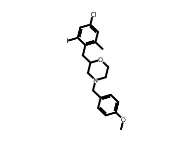 COc1ccc(CN2CCOC(Cc3c(C)cc(Cl)cc3I)C2)cc1